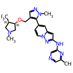 Cc1cncc(Nc2cc3cc(-c4c(CO[C@H]5CN(C)C[C@H]5C)cnn4C)ccn3n2)n1